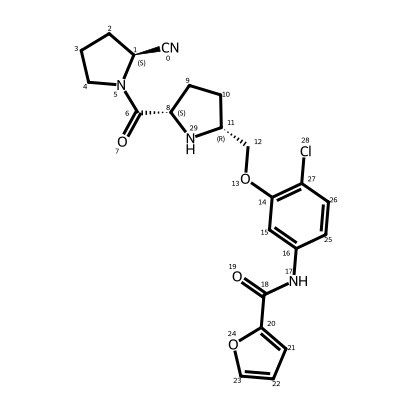 N#C[C@@H]1CCCN1C(=O)[C@@H]1CC[C@H](COc2cc(NC(=O)c3ccco3)ccc2Cl)N1